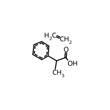 C=C.CC(C(=O)O)c1ccccc1